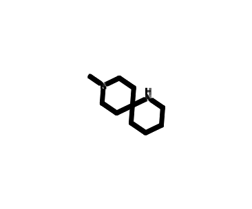 CN1CCC2(CCCCN2)CC1